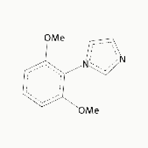 COc1cccc(OC)c1-n1ccnc1